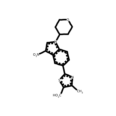 Cc1nc(-c2ccc3c(c2)c([N+](=O)[O-])cn3C2CCOCC2)sc1C(=O)O